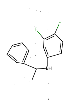 CC(Bc1ccc(F)c(F)c1)c1ccccc1